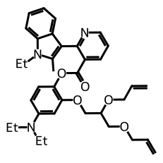 C=CCOCC(COc1cc(N(CC)CC)ccc1OC(=O)c1cccnc1-c1c(C)n(CC)c2ccccc12)OCC=C